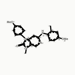 COc1ccc(-n2c(=O)n(C)c3cnc(Nc4ccc(OC)cc4C)cc32)cc1